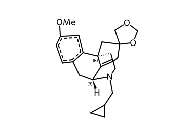 COc1ccc2c(c1)[C@]13CCN(CC4CC4)[C@H](C2)C1=CCC1(COCO1)C3